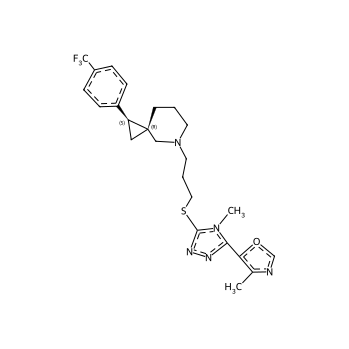 Cc1ncoc1-c1nnc(SCCCN2CCC[C@]3(C[C@H]3c3ccc(C(F)(F)F)cc3)C2)n1C